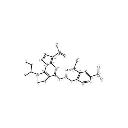 CCC(C)N1CCc2c(COCc3ccc([N+](=O)[O-])cc3[N+](=O)[O-])nc3c([N+](=O)[O-])cnn3c21